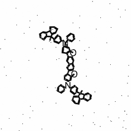 CC1(c2ccc(N(c3ccccc3)c3ccc4c(c3)oc3cc5cc6oc7cc(N(c8ccccc8)c8ccc(C9(C)c%10ccccc%10-c%10ccccc%109)cc8)ccc7c6cc5cc34)cc2)c2ccccc2-c2ccccc21